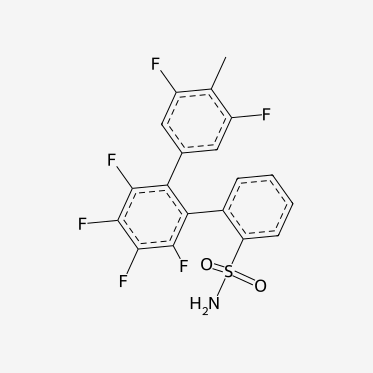 Cc1c(F)cc(-c2c(F)c(F)c(F)c(F)c2-c2ccccc2S(N)(=O)=O)cc1F